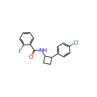 O=C(NC1CCC1c1ccc(Cl)cc1)c1ccccc1F